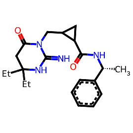 CCC1(CC)CC(=O)N(CC2CC2C(=O)N[C@H](C)c2ccccc2)C(=N)N1